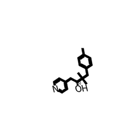 Cc1ccc(CC(C)(C)[C@@H](O)Cc2ccncc2)cc1